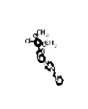 COc1cc(OC)c(-c2cn3ccc(N4CCN(CCN5CCCCC5)CC4)cc3n2)cc1Cl